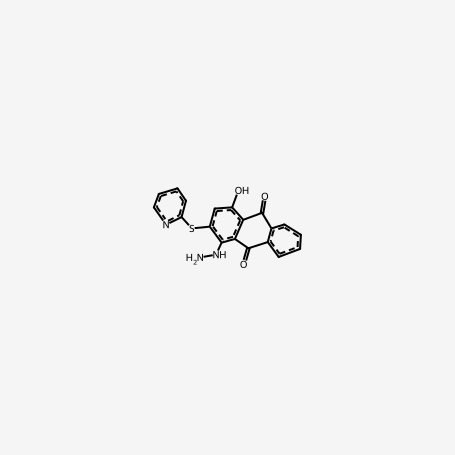 NNc1c(Sc2ccccn2)cc(O)c2c1C(=O)c1ccccc1C2=O